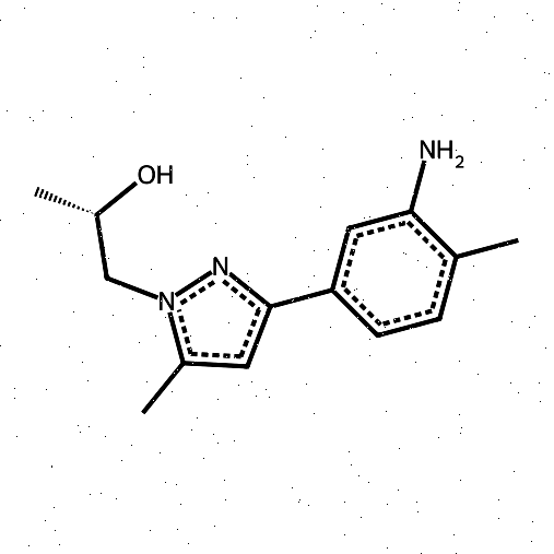 Cc1ccc(-c2cc(C)n(C[C@H](C)O)n2)cc1N